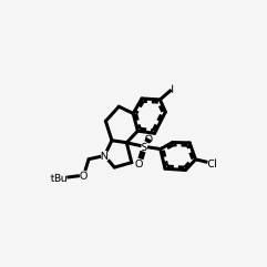 CC(C)(C)OCN1CCC2(S(=O)(=O)c3ccc(Cl)cc3)c3ccc(I)cc3CCC12